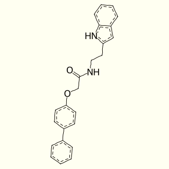 O=C(COc1ccc(-c2ccccc2)cc1)NCCc1cc2ccccc2[nH]1